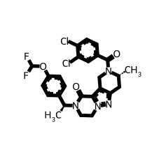 C[C@@H]1Cc2nn3c(c2CN1C(=O)c1ccc(Cl)c(Cl)c1)C(=O)N([C@@H](C)c1ccc(OC(F)F)cc1)CC3